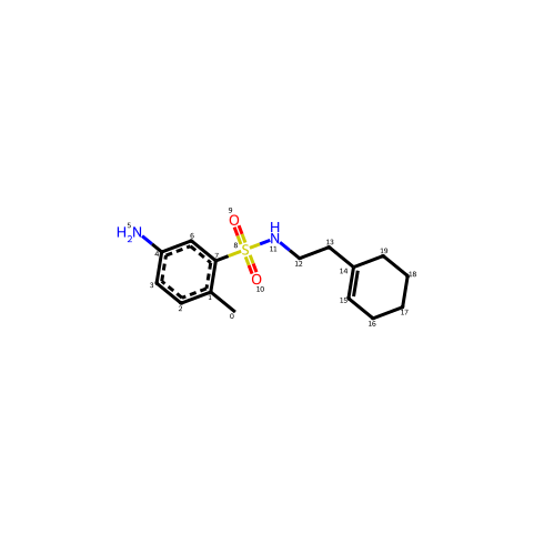 Cc1ccc(N)cc1S(=O)(=O)NCCC1=CCCCC1